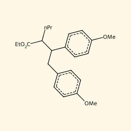 CCCC(C(=O)OCC)C(Cc1ccc(OC)cc1)c1ccc(OC)cc1